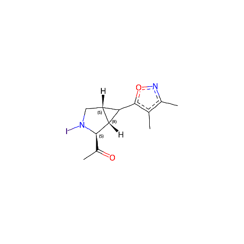 CC(=O)[C@@H]1[C@H]2C(c3onc(C)c3C)[C@H]2CN1I